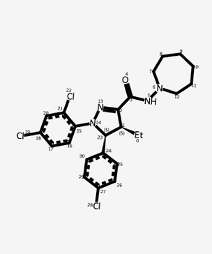 CC[C@@H]1C(C(=O)NN2CCCCCC2)=NN(c2ccc(Cl)cc2Cl)[C@@H]1c1ccc(Cl)cc1